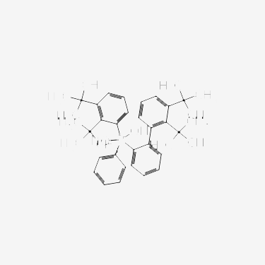 CC(C)(C)c1cccc(-c2ccccc2P(O)(O)(c2ccccc2)c2cccc(C(C)(C)C)c2C(C)(C)C)c1C(C)(C)C